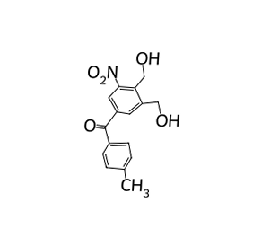 Cc1ccc(C(=O)c2cc(CO)c(CO)c([N+](=O)[O-])c2)cc1